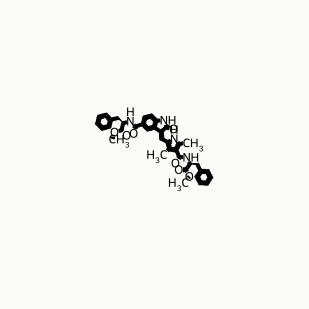 COC(=O)[C@H](Cc1ccccc1)NC(=O)c1c(C)[nH]c(/C=C2\C(=O)Nc3ccc(C(=O)N[C@H](Cc4ccccc4)C(=O)OC)cc32)c1C